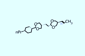 C/C=C/[C@H]1CO[C@H](CC[C@H]2CO[C@H]([C@H]3CC[C@H](CCC)CC3)OC2)OC1